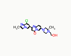 Cc1cn2cc(-c3cc(=O)n4cc(N5CCN(CCO)[C@@H](C)C5)ccc4n3)cc(Cl)c2n1